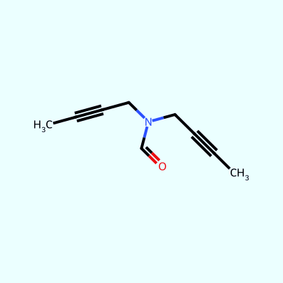 CC#CCN(C=O)CC#CC